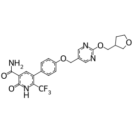 NC(=O)c1cc(-c2ccc(OCc3cnc(OCC4CCOC4)nc3)cc2)c(C(F)(F)F)[nH]c1=O